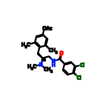 CC(=O)Oc1cc(C)c(C[C@@H](CNC(=O)c2ccc(Cl)c(Cl)c2)N(C)C)c(C)c1